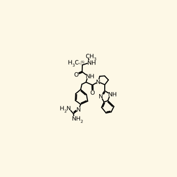 CN[C@@H](C)C(=O)NC(Cc1ccc(N=C(N)N)cc1)C(=O)N1CCCC1c1nc2ccccc2[nH]1